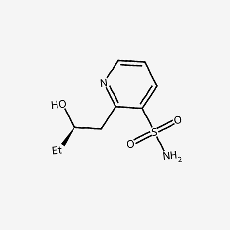 CC[C@@H](O)Cc1ncccc1S(N)(=O)=O